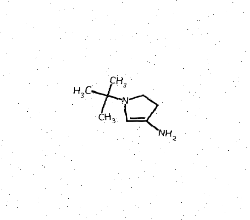 CC(C)(C)N1C=C(N)CC1